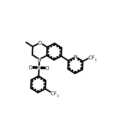 CC1CN(S(=O)(=O)c2cccc(C(F)(F)F)c2)c2cc(-c3cccc(C(F)(F)F)n3)ccc2O1